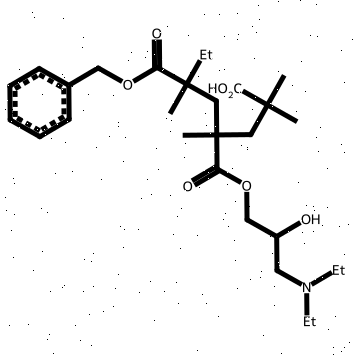 CCN(CC)CC(O)COC(=O)C(C)(CC(C)(C)C(=O)O)CC(C)(CC)C(=O)OCc1ccccc1